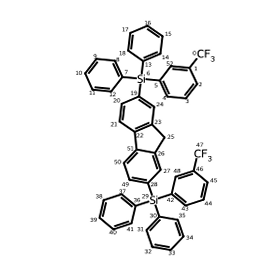 FC(F)(F)c1cccc([Si](c2ccccc2)(c2ccccc2)c2ccc3c(c2)Cc2cc([Si](c4ccccc4)(c4ccccc4)c4cccc(C(F)(F)F)c4)ccc2-3)c1